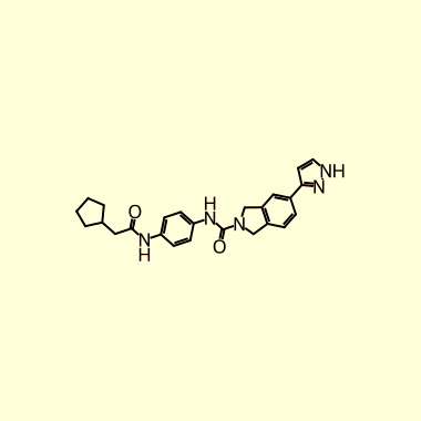 O=C(CC1CCCC1)Nc1ccc(NC(=O)N2Cc3ccc(-c4cc[nH]n4)cc3C2)cc1